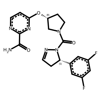 NC(=O)c1nccc(O[C@@H]2CCN(C(=O)N3N=CC[C@H]3c3cc(F)cc(F)c3)C2)n1